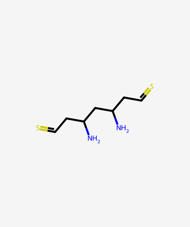 NC(CC=S)CC(N)CC=S